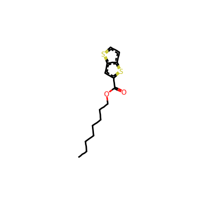 CCCCCCCCOC(=O)c1cc2sccc2s1